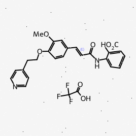 COc1cc(/C=C/C(=O)Nc2ccccc2C(=O)O)ccc1OCCc1ccncc1.O=C(O)C(F)(F)F